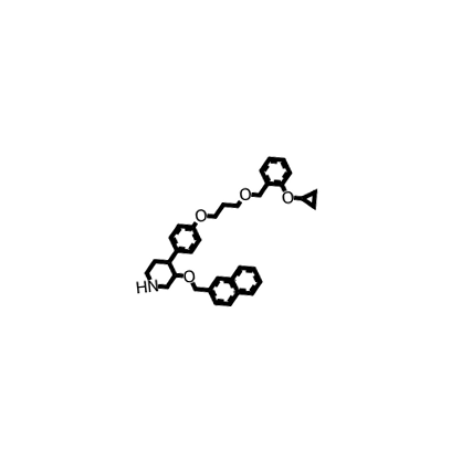 c1ccc(OC2CC2)c(COCCCOc2ccc(C3CCNCC3OCc3ccc4ccccc4c3)cc2)c1